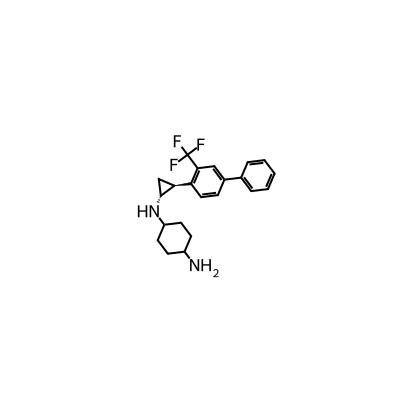 NC1CCC(N[C@@H]2C[C@H]2c2ccc(-c3ccccc3)cc2C(F)(F)F)CC1